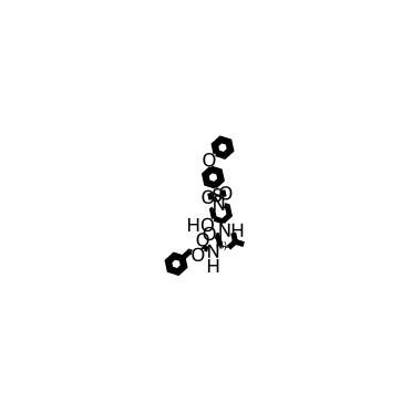 CC(C)C[C@H](NC(=O)OCc1ccccc1)C(=O)NC1CCN(S(=O)(=O)c2ccc(Oc3ccccc3)cc2)CC1O